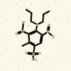 CCCN(CCC)c1c([N+](=O)[O-])cc(S(N)(=O)=O)c(C)c1[N+](=O)[O-]